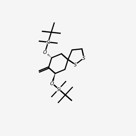 C=C1[C@H](O[Si](C)(C)C(C)(C)C)CC2(CCSS2)C[C@H]1O[Si](C)(C)C(C)(C)C